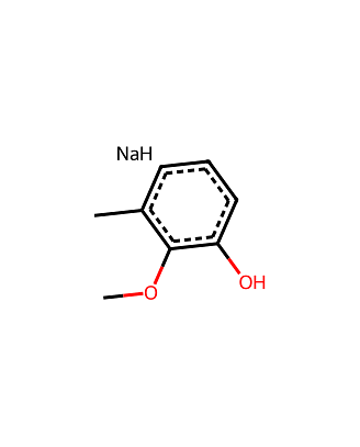 COc1c(C)cccc1O.[NaH]